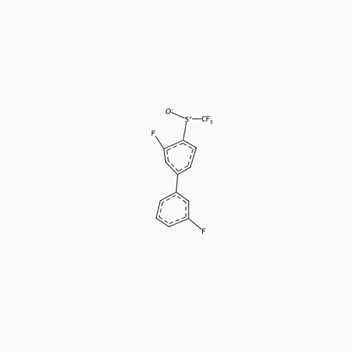 [O-][S+](c1ccc(-c2cccc(F)c2)cc1F)C(F)(F)F